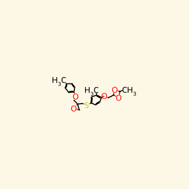 Cc1ccc(OCC2(CSc3ccc(OCC4OC(C)O4)c(C)c3)CO2)cc1